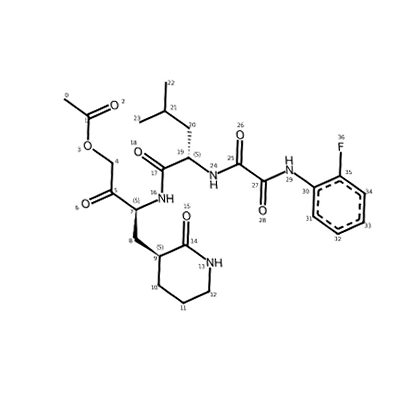 CC(=O)OCC(=O)[C@H](C[C@@H]1CCCNC1=O)NC(=O)[C@H](CC(C)C)NC(=O)C(=O)Nc1ccccc1F